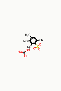 Cc1cc(C#N)c(S(=O)(=O)[O-])c(C#N)c1C#N.OB(O)O.[Li+]